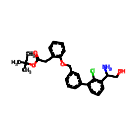 CC(C)(C)OC(=O)Cc1ccccc1OCc1cccc(-c2cccc(C(N)CO)c2Cl)c1